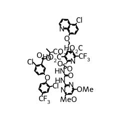 COc1cc(OC)nc(NC(=O)NS(=O)(=O)c2nc(C(F)(F)F)ccc2C(=O)O)n1.C[C@H](OC(=O)c1cc(Oc2ccc(C(F)(F)F)cc2Cl)ccc1Cl)C(=O)O.O=C(O)COc1ccc(Cl)c2cccnc12